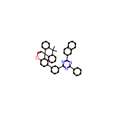 CC1(C)c2ccccc2C2(c3ccccc3Oc3ccc(-c4cccc(-c5nc(-c6ccccc6)nc(-c6ccc7ccccc7c6)n5)c4)cc32)c2ccccc21